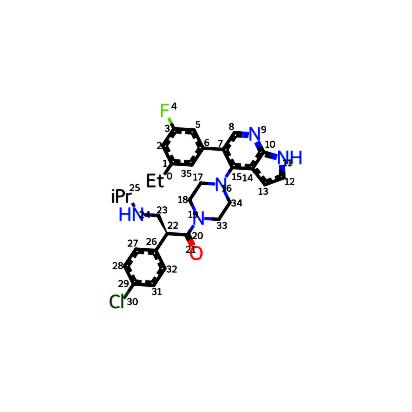 CCc1cc(F)cc(-c2cnc3[nH]ccc3c2N2CCN(C(=O)[C@H](CNC(C)C)c3ccc(Cl)cc3)CC2)c1